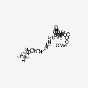 CCc1cccc2cc(OCOC)cc(-c3ncc4c(N5CC6CCC(C5)N6C(=O)OC(C)(C)C)nc(OCC5(CN6CCC(N7CC(CN8CCN(c9ccc%10c(c9)CN([C@H]9CCC(=O)NC9=O)C%10=O)CC8)C7)CC6)CC5)nc4c3F)c12